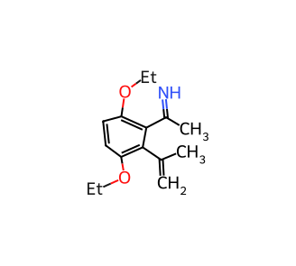 C=C(C)c1c(OCC)ccc(OCC)c1C(C)=N